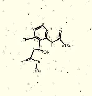 CC(C)(C)OC(=O)CC(O)c1c(Cl)ccnc1NC(=O)C(C)(C)C